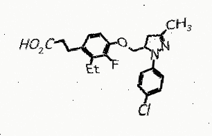 CCc1c(CCC(=O)O)ccc(OCC2CC(C)=NN2c2ccc(Cl)cc2)c1F